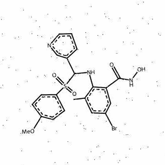 COc1ccc(S(=O)(=O)C(Nc2c(C)cc(Br)cc2C(=O)NO)c2cccnc2)cc1